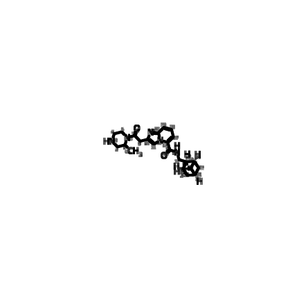 CC1CNCCN1C(=O)Cc1cn2c(C(=O)NC[C@@H]3CC[C@@H]4C[C@H]3C4(C)C)cccc2n1